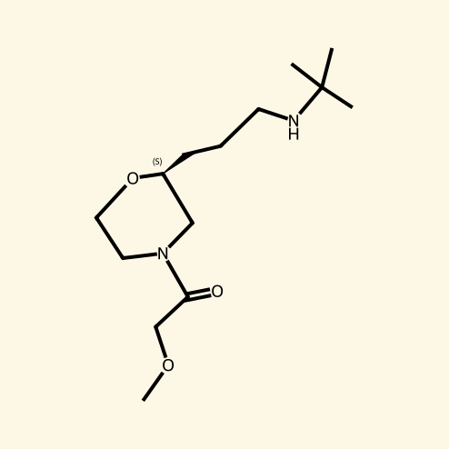 COCC(=O)N1CCO[C@@H](CCCNC(C)(C)C)C1